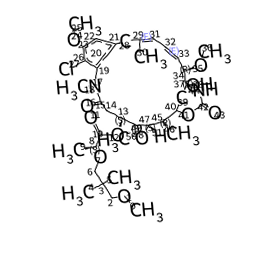 COCC(C)(C)CO[C@@H](C)C(=O)O[C@H]1CC(=O)N(C)c2cc(cc(OC)c2Cl)C/C(C)=C/C=C/[C@@H](OC)[C@@]2(O)CC(OC(=O)N2)[C@@H](C)[C@@H]2O[C@@]12C